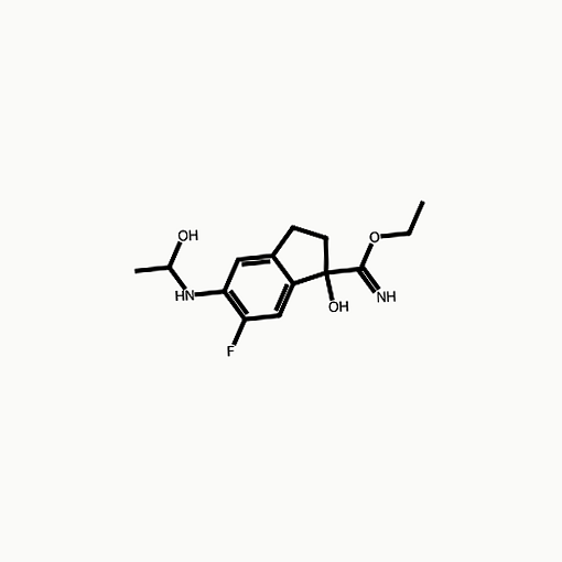 CCOC(=N)C1(O)CCc2cc(NC(C)O)c(F)cc21